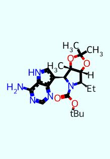 CC[C@@H]1[C@H]2OC(C)(C)O[C@@]2(C)[C@H](c2c[nH]c3c(N)ncnc23)N1C(=O)OC(C)(C)C